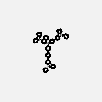 c1ccc(-n2c3ccccc3c3cc(-c4ccc(-c5ccc(N(c6ccc(-c7ccc8c(c7)c7ccccc7n8-c7ccccc7)cc6)c6ccc(-n7c8ccccc8c8ccccc87)c7ccccc67)cc5)cc4)ccc32)cc1